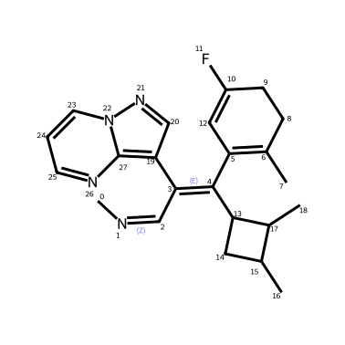 C/N=C\C(=C(\C1=C(C)CCC(F)=C1)C1CC(C)C1C)c1cnn2cccnc12